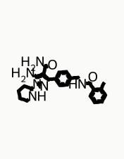 Cc1ccccc1C(=O)NCc1ccc(-c2nn(C3CCCCN3)c(N)c2C(N)=O)cc1